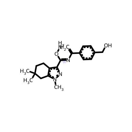 C=C(/N=C(\ON)c1nn(C)c2c1CCC(C)(C)C2)c1ccc(CO)cc1